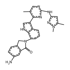 Cc1cnc(Nc2cc(C)n(C)n2)nc1-c1c[nH]c2c(N3Cc4ccc(N)cc4C3=O)cccc12